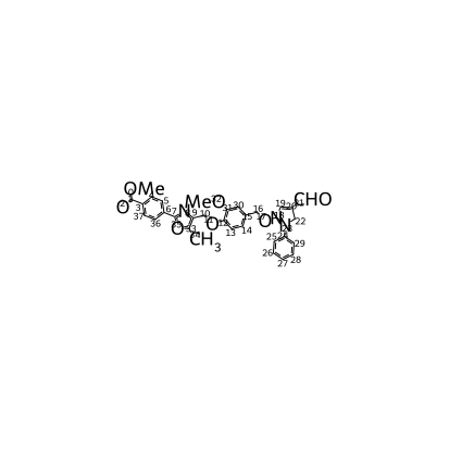 COC(=O)c1ccc(-c2nc(COc3ccc(CON4C=C(C=O)CN4c4ccccc4)cc3OC)c(C)o2)cc1